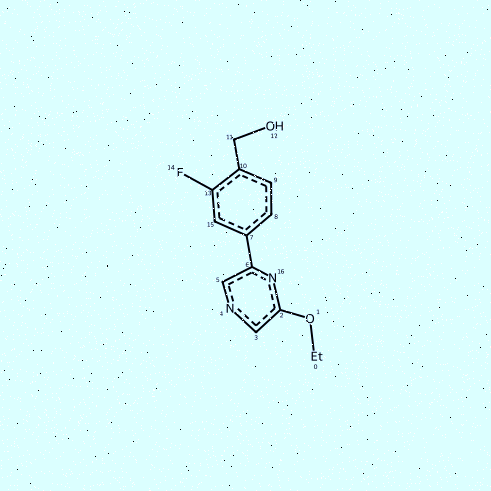 CCOc1cncc(-c2ccc(CO)c(F)c2)n1